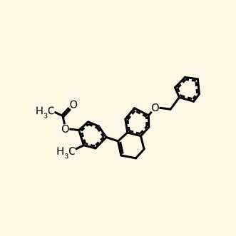 CC(=O)Oc1ccc(C2=CCCc3cc(OCc4ccccc4)ccc32)cc1C